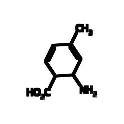 CC1=CC(N)C(C(=O)O)C=C1